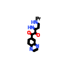 CC(C)N/C=C\C(=N)C(=O)C(=O)c1ccc2nccnc2c1